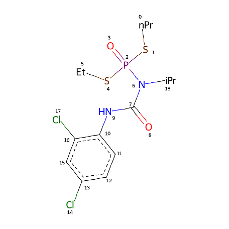 CCCSP(=O)(SCC)N(C(=O)Nc1ccc(Cl)cc1Cl)C(C)C